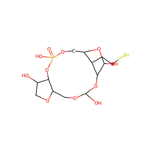 O=P1(O)OCC2OC(O)C(OC(O)OCC3OCC(O)C3O1)C2CCS